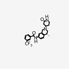 C[C@H]1CN(C2CCNC(=O)C2)Cc2cc(NC(=O)c3cccc(C(F)(F)F)c3)ccc21